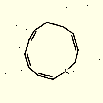 [C]1=CC=CC=CCCC=CCC1